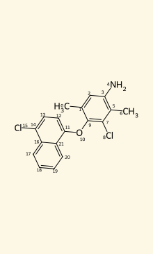 Cc1cc(N)c(C)c(Cl)c1Oc1ccc(Cl)c2ccccc12